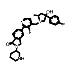 CC1CC(O)(c2ccc(F)cc2)CN1Cc1ccnc(-c2ccc3c(c2)CN(C2CCCNC2)C3=O)c1F